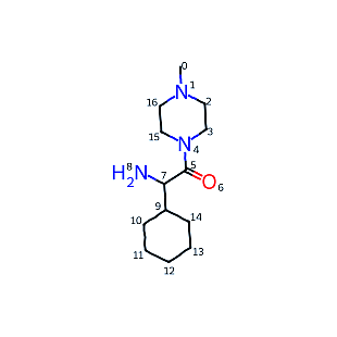 CN1CCN(C(=O)C(N)C2CCCCC2)CC1